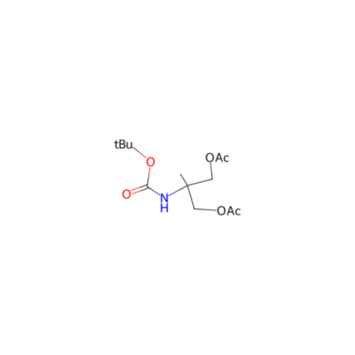 CC(=O)OCC(C)(COC(C)=O)NC(=O)OC(C)(C)C